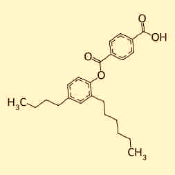 CCCCCCc1cc(CCCC)ccc1OC(=O)c1ccc(C(=O)O)cc1